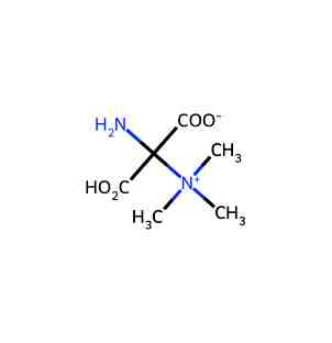 C[N+](C)(C)C(N)(C(=O)[O-])C(=O)O